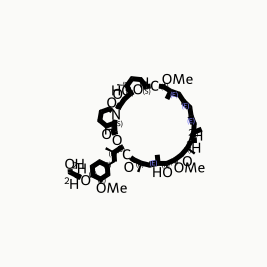 [2H]C([2H])(CO)O[C@@H]1CC[C@@H](C[C@@H](C)[C@@H]2CC(=O)[C@H](C)/C=C(\C)[C@@H](O)[C@@H](OC)C(=O)[C@H](C)C([2H])(C)[C@]([2H])(C)/C=C/C=C/C=C(\C)[C@@H](OC)C[C@@H]3CC[C@@H](C)[C@@](O)(O3)C(=O)C(=O)N3CCCC[C@H]3C(=O)O2)C[C@H]1OC